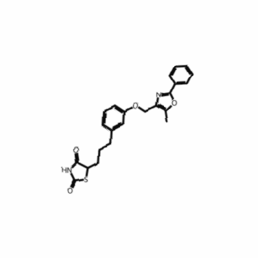 Cc1oc(-c2ccccc2)nc1COc1cccc(CCCC2SC(=O)NC2=O)c1